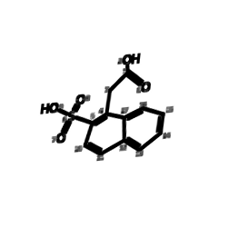 O=C(O)Cc1c(S(=O)(=O)O)ccc2ccccc12